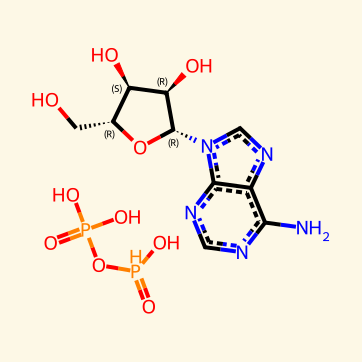 Nc1ncnc2c1ncn2[C@@H]1O[C@H](CO)[C@@H](O)[C@H]1O.O=[PH](O)OP(=O)(O)O